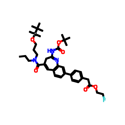 CCCN(CCCO[Si](C)(C)C(C)(C)C)C(=O)C1=Cc2ccc(-c3ccc(CC(=O)OCCF)cc3)cc2N=C(NC(=O)OC(C)(C)C)C1